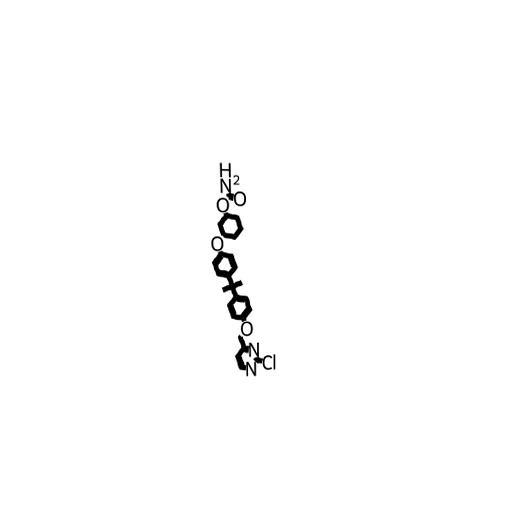 CC(C)(c1ccc(OCc2ccnc(Cl)n2)cc1)c1ccc(OC2CCCC(OC(N)=O)C2)cc1